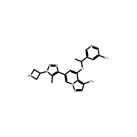 Cc1c(-c2cc(OC(C)c3cncc(C(F)(F)F)c3)c3c(C#N)cnn3c2)nnn1C1CNC1